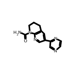 NC(=O)N1CCCc2cc(-c3cnccn3)cnc21